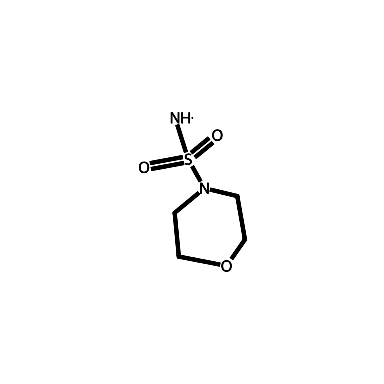 [NH]S(=O)(=O)N1CCOCC1